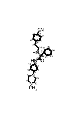 CN1CCN(c2ccc(NC(=O)[C@@H](NCCc3ccc(C#N)cc3)c3ccccc3)cc2)CC1